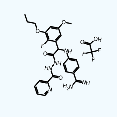 CCCOc1cc(OC)cc(C(Nc2ccc(C(=N)N)cc2)C(=O)NNC(=O)c2ccccn2)c1F.O=C(O)C(F)(F)F